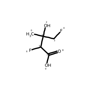 CC(O)(CF)C(F)C(=O)O